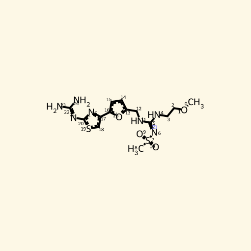 COCCN/C(=N/S(C)(=O)=O)NCc1ccc(-c2csc(N=C(N)N)n2)o1